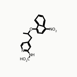 CC(Cc1ccnc(NC(=O)O)c1)Oc1ccc([N+](=O)[O-])c2ccccc12